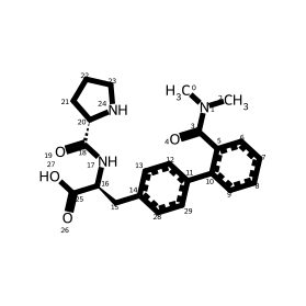 CN(C)C(=O)c1ccccc1-c1ccc(C[C@H](NC(=O)[C@@H]2CCCN2)C(=O)O)cc1